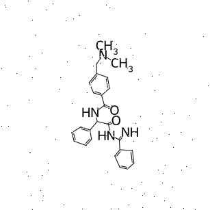 CN(C)Cc1ccc(C(=O)NC(C(=O)NC(=N)c2ccccc2)c2ccccc2)cc1